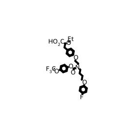 CCOC(Cc1ccc(OCCN(CCCCOc2ccc(F)cc2)C(=O)Oc2ccc(OC(F)(F)F)cc2)cc1)C(=O)O